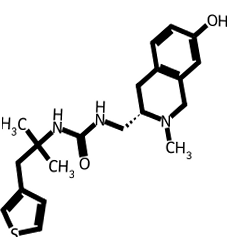 CN1Cc2cc(O)ccc2C[C@H]1CNC(=O)NC(C)(C)Cc1ccsc1